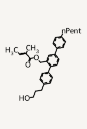 C/C=C(\C)C(=O)OCc1cc(-c2ccc(CCCCC)cc2)ccc1-c1ccc(CCCO)cc1